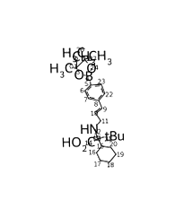 CC1(C)OB(c2ccc(C=CCN[C@@](C(=O)O)(C3CCCCC3)C(C)(C)C)cc2)OC1(C)C